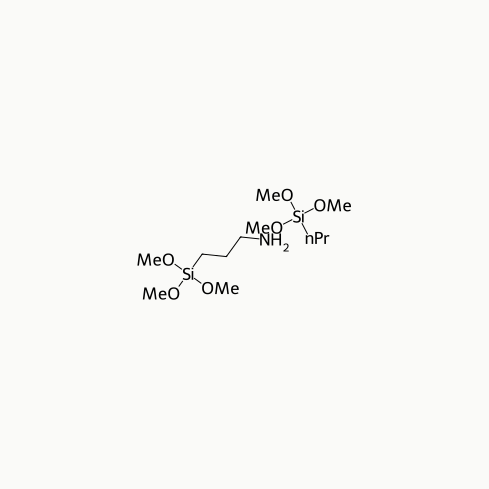 CCC[Si](OC)(OC)OC.CO[Si](CCCN)(OC)OC